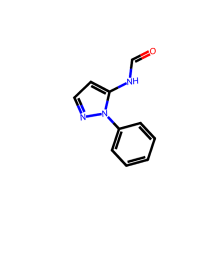 O=CNc1ccnn1-c1ccccc1